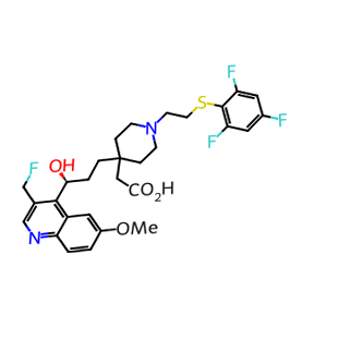 COc1ccc2ncc(CF)c([C@@H](O)CCC3(CC(=O)O)CCN(CCSc4c(F)cc(F)cc4F)CC3)c2c1